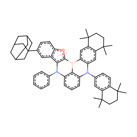 CC1(C)CCC(C)(C)c2cc(N3c4cc5c(cc4B4c6oc7ccc(C89CC%10CC(CC(C%10)C8)C9)cc7c6N(c6ccccc6)c6cccc3c64)C(C)(C)CCC5(C)C)ccc21